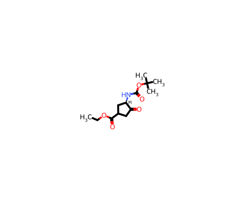 CCOC(=O)C1CC(=O)[C@H](NC(=O)OC(C)(C)C)C1